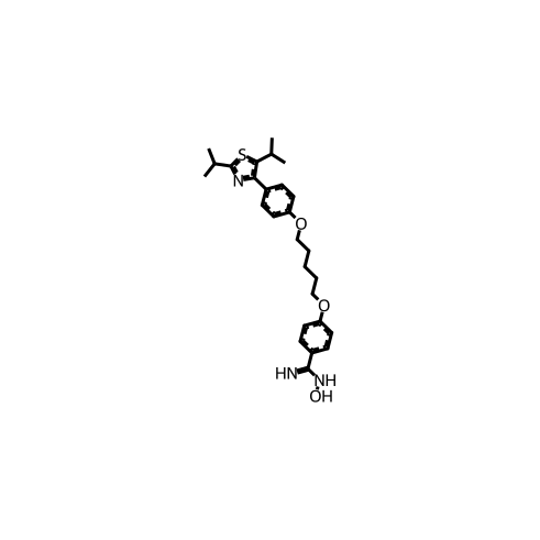 CC(C)c1nc(-c2ccc(OCCCCCOc3ccc(C(=N)NO)cc3)cc2)c(C(C)C)s1